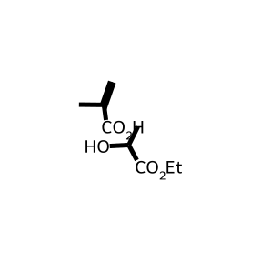 C=C(C)C(=O)O.CCOC(=O)C(C)O